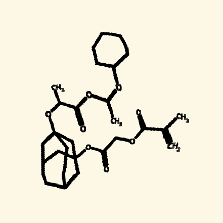 C=C(C)C(=O)OCC(=O)OC12CC3CC(C1)CC(OC(C)C(=O)OC(C)OC1CCCCC1)(C3)C2